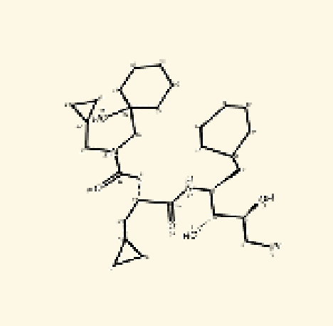 CC(C)C[C@H](O)[C@H](O)[C@H](CC1CCCCC1)NC(=O)[C@@H](CC(=O)N(CC1CC1)CC1(O)CCCCC1)CC1CC1